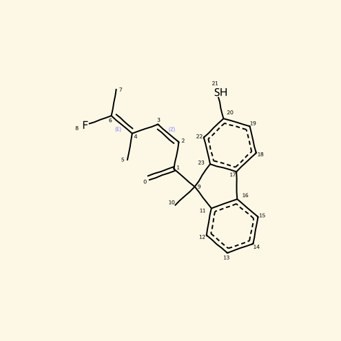 C=C(/C=C\C(C)=C(/C)F)C1(C)c2ccccc2-c2ccc(S)cc21